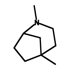 CN1CCC2(C)CCC1C2